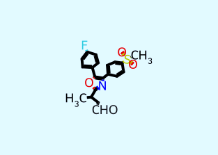 CC(CC=O)c1nc(-c2ccc(S(C)(=O)=O)cc2)c(-c2ccc(F)cc2)o1